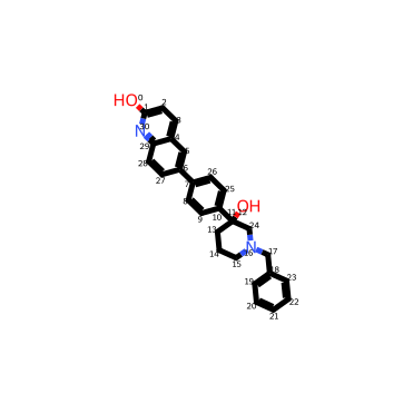 Oc1ccc2cc(-c3ccc(C4(O)CCCN(Cc5ccccc5)C4)cc3)ccc2n1